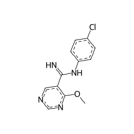 COc1ncncc1C(=N)Nc1ccc(Cl)cc1